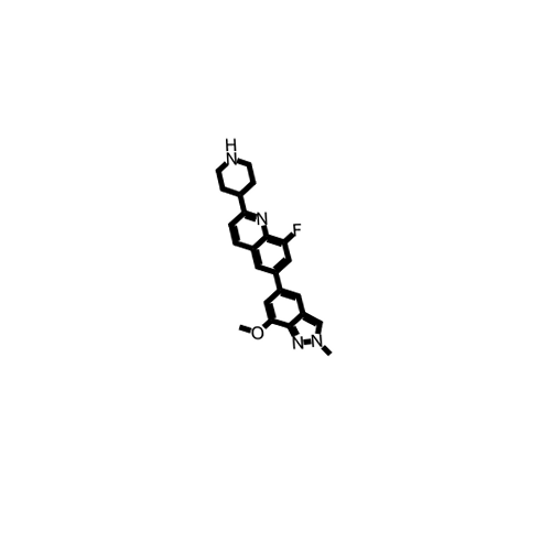 COc1cc(-c2cc(F)c3nc(C4CCNCC4)ccc3c2)cc2cn(C)nc12